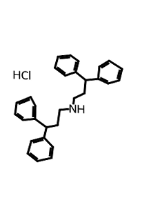 Cl.c1ccc(C(CCNCCC(c2ccccc2)c2ccccc2)c2ccccc2)cc1